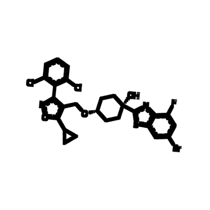 O[C@]1(c2nc3c(F)cc(Br)cc3s2)CC[C@H](OCc2c(-c3c(Cl)cccc3Cl)noc2C2CC2)CC1